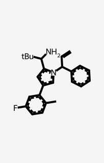 C=CC(c1ccccc1)n1cc(-c2cc(F)ccc2C)cc1C(N)C(C)(C)C